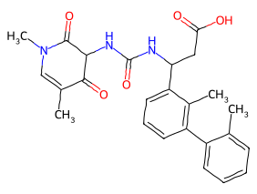 CC1=CN(C)C(=O)C(NC(=O)NC(CC(=O)O)c2cccc(-c3ccccc3C)c2C)C1=O